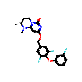 C[C@@H]1CCn2c(cc(OCc3cc(F)c(Oc4cccc(F)c4)c(F)c3)nc2=O)N1C